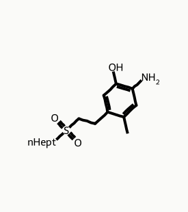 CCCCCCCS(=O)(=O)CCc1cc(O)c(N)cc1C